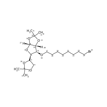 CC1(C)OCC([C@H]2O[C@@H]3OC(C)(C)O[C@@H]3[C@H]2OCCCCCCCCBr)O1